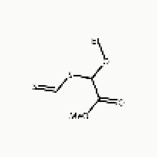 CCOC(SC=S)C(=O)OC